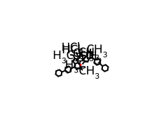 CCC1=Cc2c(-c3ccc(C4CCCCC4)cc3)cc(C)cc2[CH]1[Zr](=[SiH2])([CH2]C)([CH2]C)[CH]1C(C)=Cc2c(-c3ccc(C4CCCCC4)cc3)cc(C)cc21.Cl.Cl